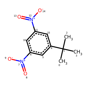 CC(C)(C)c1cc([N+](=O)[O-])cc([N+](=O)[O-])c1